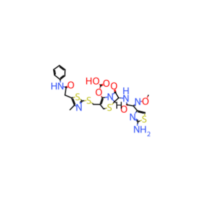 CON=C(C(=O)N[C@@H]1C(=O)N2C(OC(=O)O)=C(CSc3nc(C)c(CC(=O)Nc4ccccc4)s3)CS[C@@H]12)c1csc(N)n1